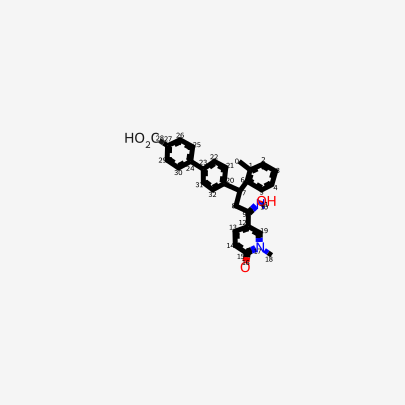 Cc1ccccc1C(C/C(=N\O)c1ccc(=O)n(C)c1)c1ccc(-c2ccc(C(=O)O)cc2)cc1